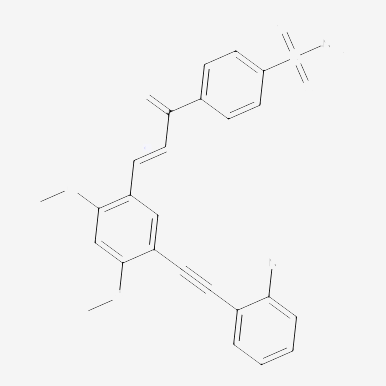 COc1cc(OC)c(/C=C/C(=O)c2ccc(S(N)(=O)=O)cc2)cc1C#Cc1ccccc1N